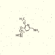 CCOc1nc(CN)ccc1OC.Cl.Cl